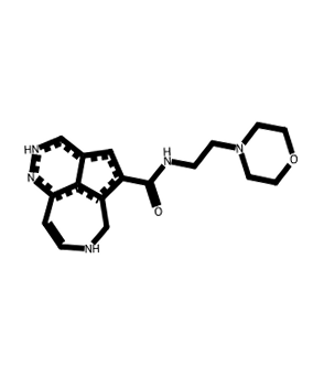 O=C(NCCN1CCOCC1)c1cc2c[nH]nc3c-2c1CNC=C3